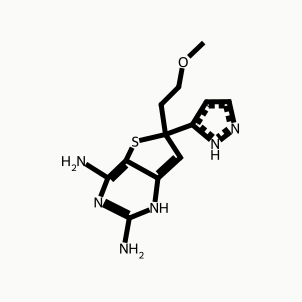 COCCC1(c2ccn[nH]2)C=C2NC(N)=NC(N)=C2S1